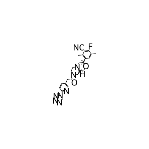 Cc1cc([C@@H]2CN3CCN(C(=O)Cc4ccc(-n5cnnn5)nc4)C[C@@H]3CO2)c(C)c(C#N)c1F